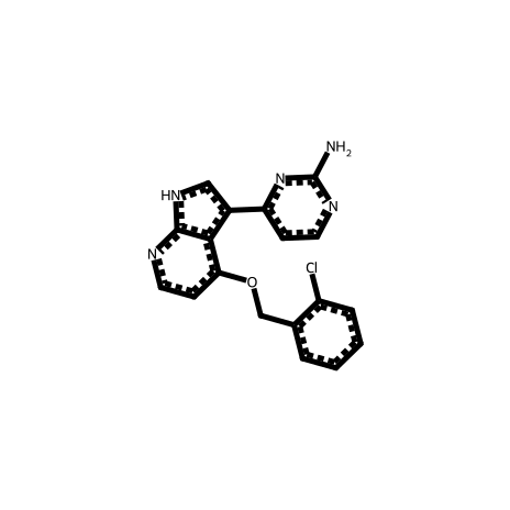 Nc1nccc(-c2c[nH]c3nccc(OCc4ccccc4Cl)c23)n1